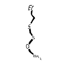 BOSSCCC